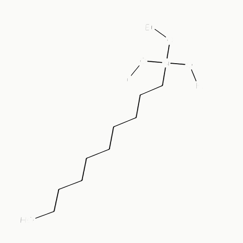 CCO[Si](CCCCCCCCCO)(OCC)OCC